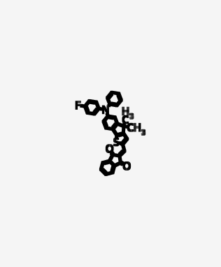 CC1(C)c2cc(N(c3ccccc3)c3ccc(F)cc3)ccc2-c2sc(C=C3C(=O)c4ccccc4C3=O)cc21